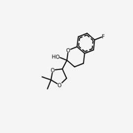 CC1(C)OCC(C2(O)CCc3cc(F)ccc3O2)O1